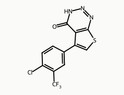 O=c1[nH]nnc2scc(-c3ccc(Cl)c(C(F)(F)F)c3)c12